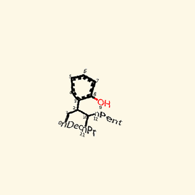 CCCCCCCCCCCC(c1ccccc1O)C(CCC)CCCCC